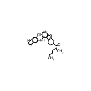 CCCCN(C)C(=O)C1CCc2c(sc3ncnc(Nc4cc5ccnn5cc4Cl)c23)C1